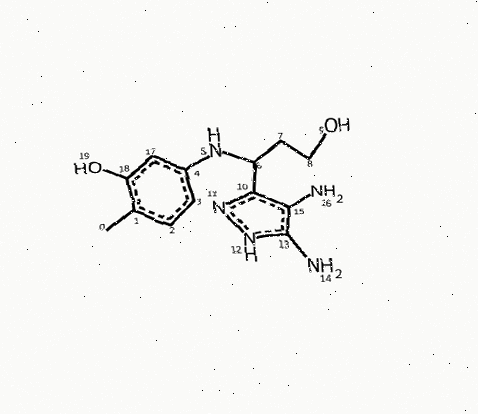 Cc1ccc(NC(CCO)c2n[nH]c(N)c2N)cc1O